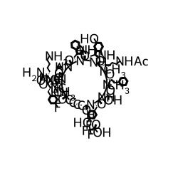 CC(=O)NCCCC[C@H]1C(=O)N[C@@H](Cc2c[nH]c3ccc(O)cc23)C(=O)N[C@@H](Cc2c[nH]c3ccccc23)C(=O)N[C@@H](C2CC2)C(=O)N(C)[C@H](C(=O)N(C)[C@@H](Cc2ccc(F)cc2)C(=O)N[C@@H](CCCCN)C(N)=O)CNC(=O)CCCCC(=O)N[C@@H](Cc2ccc(O)cc2)C(=O)N[C@@H](CO)C(=O)N(C)[C@@H](CCc2ccccc2)C(=O)N1C.O=C(O)C(F)(F)F